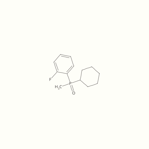 CP(=O)(c1ccccc1F)C1CCCCC1